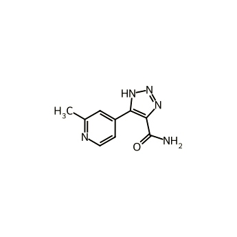 Cc1cc(-c2[nH]nnc2C(N)=O)ccn1